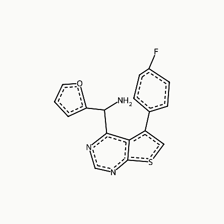 NC(c1ccco1)c1ncnc2scc(-c3ccc(F)cc3)c12